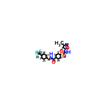 Cc1cc(NS(=O)(=O)c2ccc(C(=O)NCc3ccc(C(F)(F)F)cc3)cc2)on1